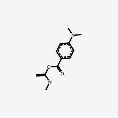 C=C(NC)OC(=O)c1ccc(N(C)C)cc1